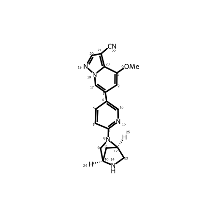 COc1cc(-c2ccc(N3C[C@H]4C[C@@H]3CN4)nc2)cn2ncc(C#N)c12